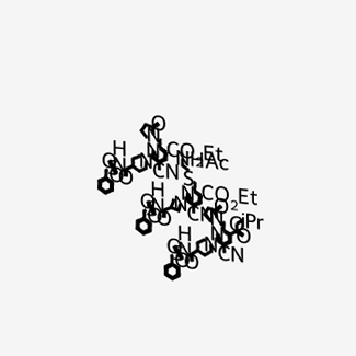 CC(C)OC(=O)c1cc(C#N)c(N2CCC(C(=O)NS(=O)(=O)Cc3ccccc3)CC2)nc1CN1CCCC1=O.CCOC(=O)c1cc(C#N)c(N2CC(C(=O)NS(=O)(=O)Cc3ccccc3)C2)nc1CSCCNC(C)=O.CCOC(=O)c1cc(C#N)c(N2CCC(C(=O)NS(=O)(=O)Cc3ccccc3)CC2)nc1CN1CCCC1=O